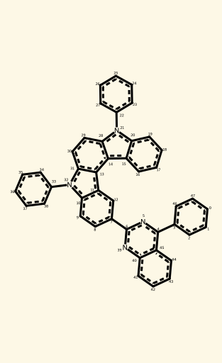 c1ccc(-c2nc(-c3ccc4c(c3)c3c5c6ccccc6n(-c6ccccc6)c5ccc3n4-c3ccccc3)nc3ccccc23)cc1